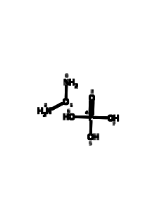 NON.O=P(O)(O)O